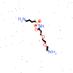 NCCCCS(=O)(=O)NC(=O)CCOCCOCCN